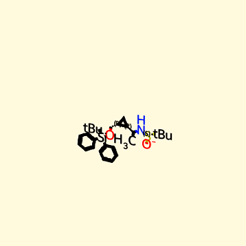 CC(N[S@+]([O-])C(C)(C)C)[C@@H]1C[C@H]1CO[Si](c1ccccc1)(c1ccccc1)C(C)(C)C